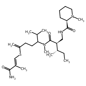 C=C(CCC(C(C)C)N(C)C(=O)[C@@H](CNC(=O)[C@H]1CCCCN1C)[C@@H](C)CC)S/C=C(\C)C(N)=O